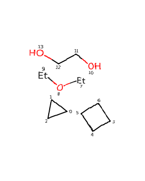 C1CC1.C1CCC1.CCOCC.OCCO